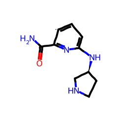 NC(=O)c1[c]ccc(N[C@H]2CCNC2)n1